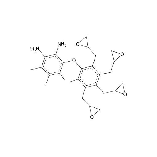 Cc1c(C)c(N)c(N)c(Oc2c(C)c(CC3CO3)c(CC3CO3)c(CC3CO3)c2CC2CO2)c1C